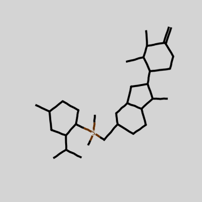 C=C1CCC(C2CC3CC(CS(C)(C)C4CCC(C)CC4C(C)C)CCC3C2C)C(C)C1C